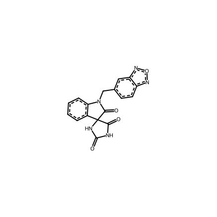 O=C1NC(=O)C2(N1)C(=O)N(Cc1ccc3nonc3c1)c1ccccc12